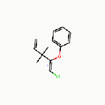 C=CC(C)(C)/C(=C/Cl)Oc1ccccc1